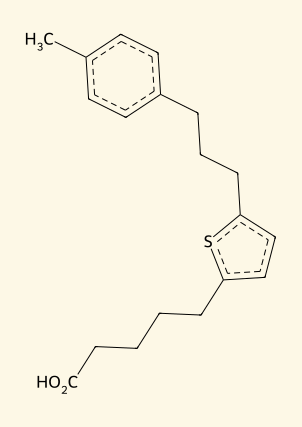 Cc1ccc(CCCc2ccc(CCCCC(=O)O)s2)cc1